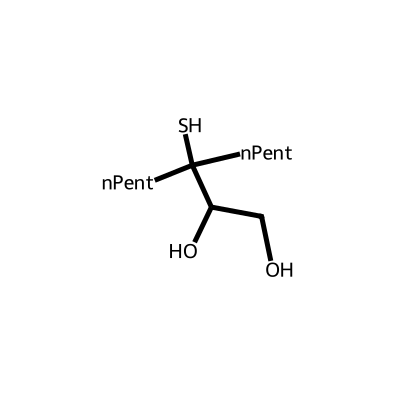 CCCCCC(S)(CCCCC)C(O)CO